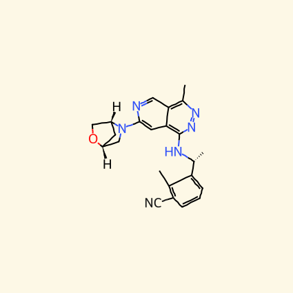 Cc1c(C#N)cccc1[C@@H](C)Nc1nnc(C)c2cnc(N3C[C@H]4C[C@@H]3CO4)cc12